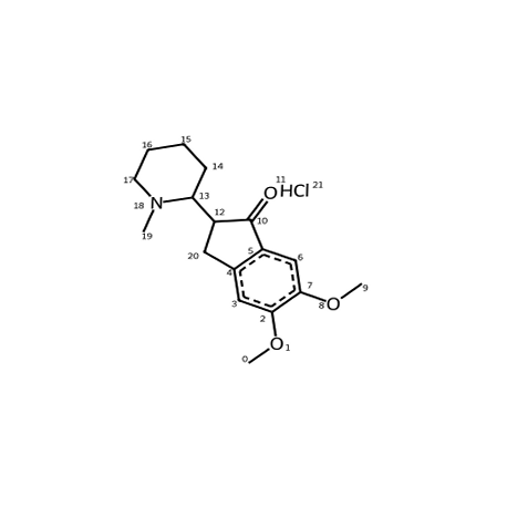 COc1cc2c(cc1OC)C(=O)C(C1CCCCN1C)C2.Cl